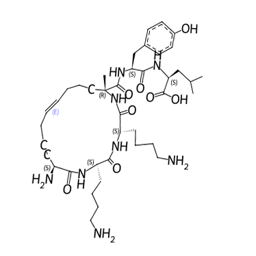 CC(C)C[C@H](NC(=O)[C@H](Cc1ccc(O)cc1)NC(=O)[C@@]1(C)CCC/C=C/CCC[C@H](N)C(=O)N[C@@H](CCCCN)C(=O)N[C@@H](CCCCN)C(=O)N1)C(=O)O